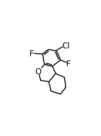 Fc1cc(Cl)c(F)c2c1OCC1CCCCC21